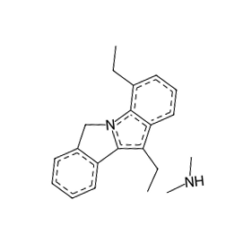 CCc1c2n(c3c(CC)cccc13)Cc1ccccc1-2.CNC